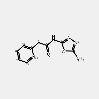 Cc1nnc(NC(=O)Cc2ccccn2)s1